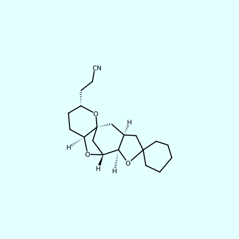 N#CCC[C@H]1CC[C@@H]2O[C@@H]3C[C@]2(C[C@H]2CC4(CCCCC4)O[C@H]23)O1